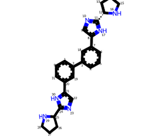 c1cc(-c2cccc(-c3cnc([C@@H]4CCCN4)[nH]3)c2)cc(-c2cnc(C3CCCN3)[nH]2)c1